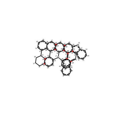 C1=c2c(sc3ccccc23)=C(c2ccccc2N(c2ccccc2-c2cccc3cccc(C4CCCCC4)c23)c2ccccc2-c2cccc3oc4ccccc4c23)CC1